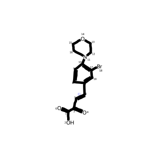 O=C(O)C(=O)/C=C/c1ccc(N2CCOCC2)c(Br)c1